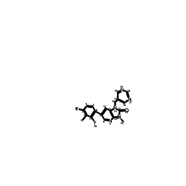 Cc1c(F)ccc(-c2cnc3c(c2)n(Cc2cncnc2)c(=O)n3C)c1F